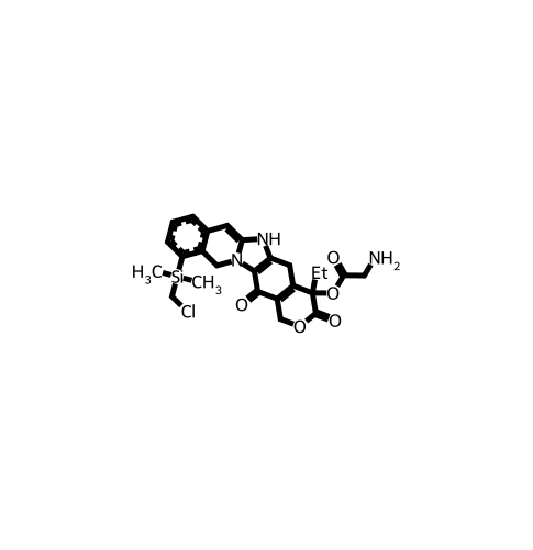 CCC1(OC(=O)CN)C(=O)OCC2=C1CC1=C(C2=O)N2Cc3c(cccc3[Si](C)(C)CCl)C=C2N1